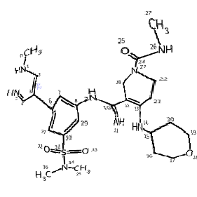 CN/C=C(\C=N)c1cc(NC(=N)C2=C(NC3CCOCC3)CCN(C(=O)NC)C2)cc(S(=O)(=O)N(C)C)c1